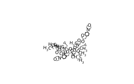 CN[C@@H](CC(C)C)C(=O)O[C@H](C)C(=O)N(C)[C@@H](CC1CC1)C(=O)O[C@H](Cc1ccc(N2CCOCC2)cc1)C(=O)N(C)[C@@H](CC(C)C)C(=O)O[C@H](C)C(=O)N(C)[C@@H](CC1CC1)C(=O)O[C@@H](C=O)Cc1ccc(N2CCOCC2)cc1